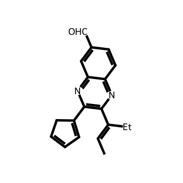 C/C=C(\CC)c1nc2ccc(C=O)cc2nc1C1=CC=CC1